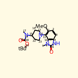 COc1ccc2[nH]c(=O)n(C)c2c1N1CCC(N(C)C(=O)OC(C)(C)C)CC1